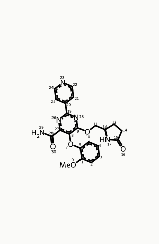 COc1ccccc1Oc1c(OCC2CCC(=O)N2)nc(-c2ccncc2)nc1C(N)=O